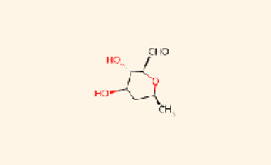 C[C@H]1C[C@@H](O)[C@H](O)[C@@H](C=O)O1